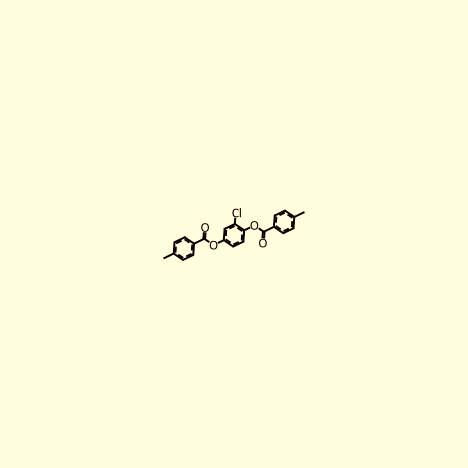 Cc1ccc(C(=O)Oc2ccc(OC(=O)c3ccc(C)cc3)c(Cl)c2)cc1